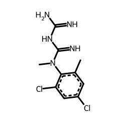 Cc1cc(Cl)cc(Cl)c1N(C)C(=N)NC(=N)N